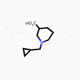 O=C(O)C1CCCN(CC2CC2)C1